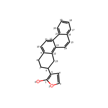 [O]c1occc1C1CCc2ccc3c(ccc4ccccc43)c2C1